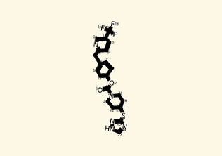 O=C(Oc1ccc(Cc2ccc(C(F)(F)F)cn2)cc1)N1CCC(Sc2nc[nH]n2)CC1